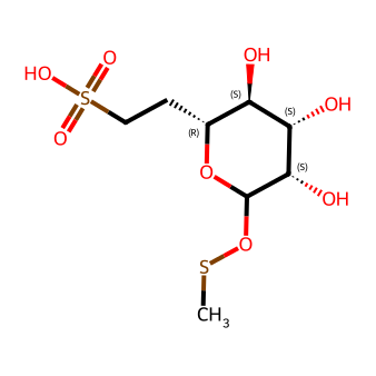 CSOC1O[C@H](CCS(=O)(=O)O)[C@@H](O)[C@H](O)[C@@H]1O